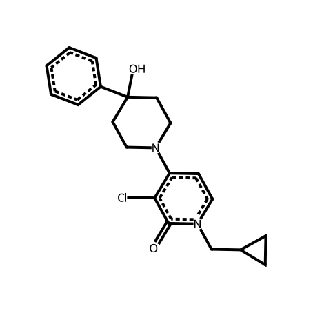 O=c1c(Cl)c(N2CCC(O)(c3ccccc3)CC2)ccn1CC1CC1